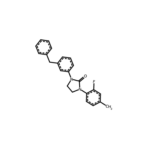 Cc1ccc(N2CCN(c3cccc(Cc4ccccc4)c3)C2=O)c(F)c1